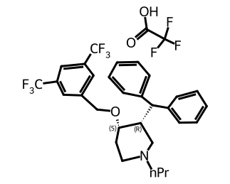 CCCN1CC[C@H](OCc2cc(C(F)(F)F)cc(C(F)(F)F)c2)[C@H](C(c2ccccc2)c2ccccc2)C1.O=C(O)C(F)(F)F